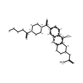 C=C(N)CC1CCc2nc3cc(C(=C)N4CCN(C(=C)CCCC)CC4)ccc3c(Cl)c2C1